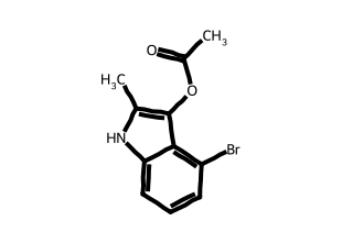 CC(=O)Oc1c(C)[nH]c2cccc(Br)c12